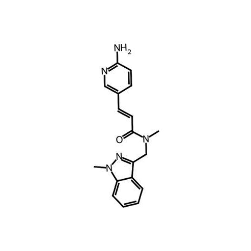 CN(Cc1nn(C)c2ccccc12)C(=O)C=Cc1ccc(N)nc1